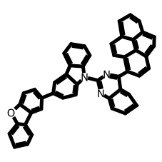 c1cc2ccc3ccc(-c4nc(-n5c6ccccc6c6cc(-c7ccc8oc9ccccc9c8c7)ccc65)nc5ccccc45)c4ccc(c1)c2c34